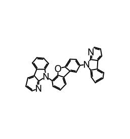 c1cc(-n2c3ccccc3c3cccnc32)c2oc3ccc(-n4c5ccccc5c5cccnc54)cc3c2c1